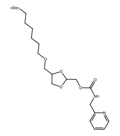 CCCCCCCCCCCCCCCCOCC1COC(COC(=O)NCc2ccccn2)O1